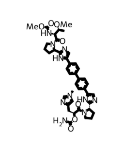 COC(=O)N[C@H](C(=O)N1CCCC1c1ncc(-c2ccc(-c3ccc(-c4cnc([C@@H]5CCCN5C(=O)[C@H](Cc5cn(C)cn5)OC(N)=O)[nH]4)cc3)cc2)[nH]1)[C@@H](C)OC